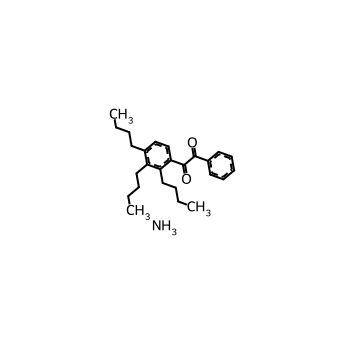 CCCCc1ccc(C(=O)C(=O)c2ccccc2)c(CCCC)c1CCCC.N